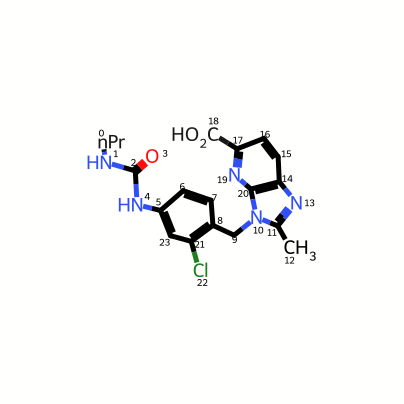 CCCNC(=O)Nc1ccc(Cn2c(C)nc3ccc(C(=O)O)nc32)c(Cl)c1